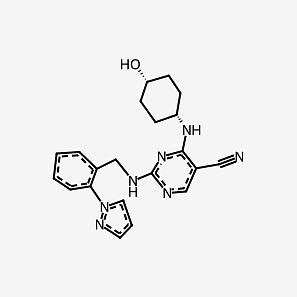 N#Cc1cnc(NCc2ccccc2-n2cccn2)nc1N[C@H]1CC[C@@H](O)CC1